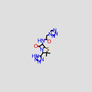 CC1(C)SC2C(NC(=O)Cn3cnnn3)C(=O)N2C1c1nnn[nH]1